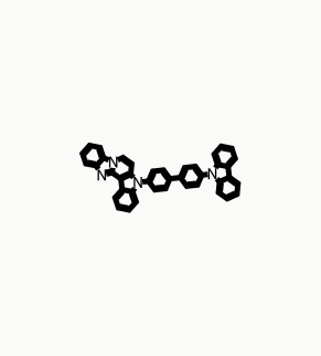 c1ccc2c(c1)nc1c3c4ccccc4n(-c4ccc(-c5ccc(-n6c7ccccc7c7ccccc76)cc5)cc4)c3ccn21